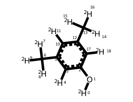 [2H]Oc1c([2H])c(C([2H])([2H])[2H])c([2H])c(C([2H])([2H])[2H])c1[2H]